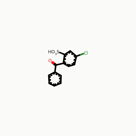 O=C(c1ccccc1)c1ccc(Cl)cc1S(=O)(=O)O